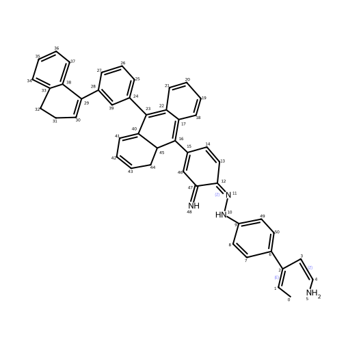 C/C=C(\C=C/N)c1ccc(N/N=C2/C=CC(C3=c4ccccc4=C(c4cccc(C5=CCCc6ccccc65)c4)C4=CC=CCC43)=CC2=N)cc1